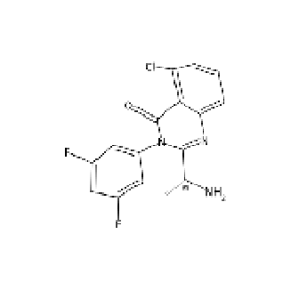 C[C@@H](N)c1nc2cccc(Cl)c2c(=O)n1-c1cc(F)cc(F)c1